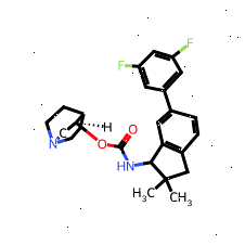 CC1(C)Cc2ccc(-c3cc(F)cc(F)c3)cc2C1NC(=O)O[C@H]1CN2CCC1CC2